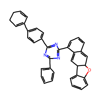 C1=CC(c2ccc(-c3nc(-c4ccccc4)nc(-c4cccc5c4=CC4c6ccccc6OC4C=5)n3)cc2)=CCC1